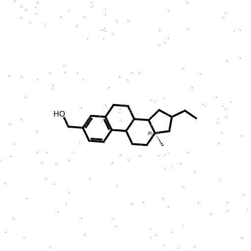 CCC1CC2C3CCc4cc(CO)ccc4C3CC[C@]2(C)C1